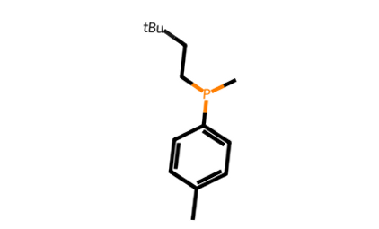 Cc1ccc(P(C)CCC(C)(C)C)cc1